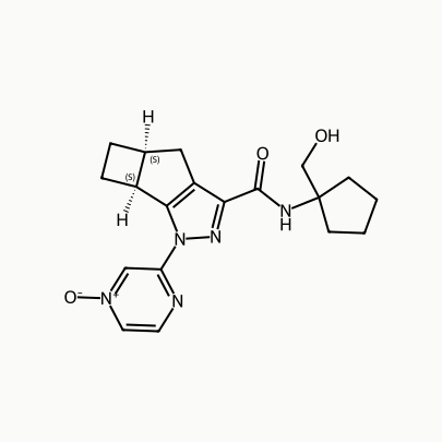 O=C(NC1(CO)CCCC1)c1nn(-c2c[n+]([O-])ccn2)c2c1C[C@@H]1CC[C@H]21